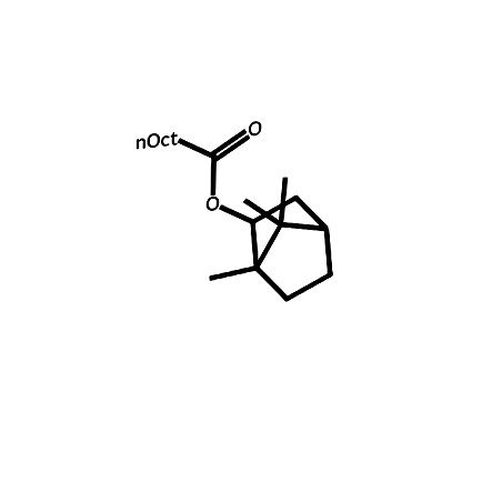 CCCCCCCCC(=O)OC1CC2CCC1(C)C2(C)C